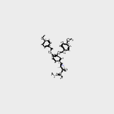 COc1ccc(COc2ccc(/C=C/C(=O)N(C)N)cc2OCc2ccc(OC)cc2)cc1